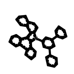 c1ccc(-c2cc(-c3ccccc3)cc(-n3c4ccc5ccccc5c4c4c5ccccc5c5ccccc5c43)c2)cc1